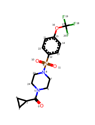 O=C(C1CC1)N1CCN(S(=O)(=O)c2ccc(OC(F)(F)F)cc2)CC1